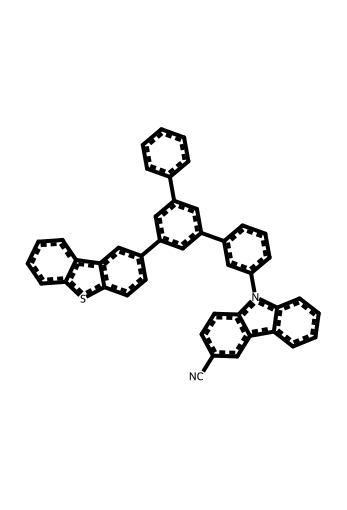 N#Cc1ccc2c(c1)c1ccccc1n2-c1cccc(-c2cc(-c3ccccc3)cc(-c3ccc4sc5ccccc5c4c3)c2)c1